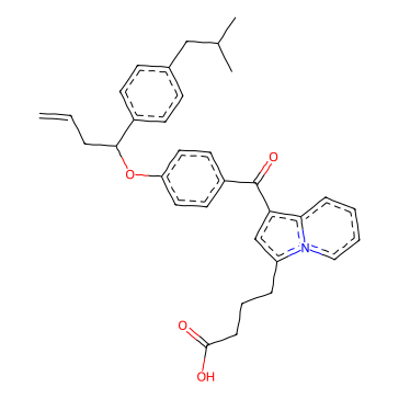 C=CCC(Oc1ccc(C(=O)c2cc(CCCC(=O)O)n3ccccc23)cc1)c1ccc(CC(C)C)cc1